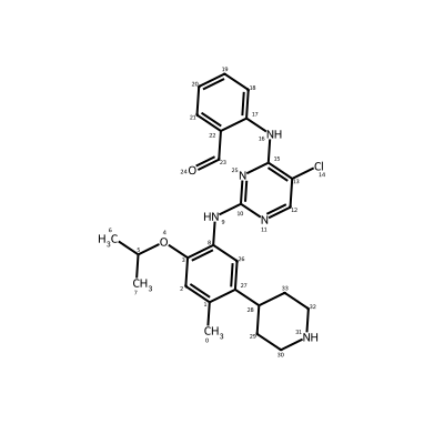 Cc1cc(OC(C)C)c(Nc2ncc(Cl)c(Nc3ccccc3C=O)n2)cc1C1CCNCC1